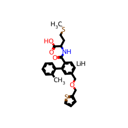 CSCCC(NC(=O)c1ccc(COCc2cccs2)cc1-c1ccccc1C)C(=O)O.[LiH]